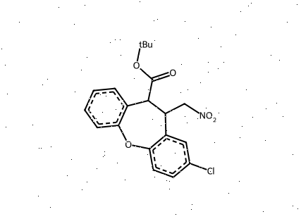 CC(C)(C)OC(=O)C1c2ccccc2Oc2ccc(Cl)cc2C1C[N+](=O)[O-]